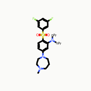 CCCN(CCC)c1cc(N2CCCN(C)CC2)ccc1S(=O)(=O)c1cc(F)cc(F)c1